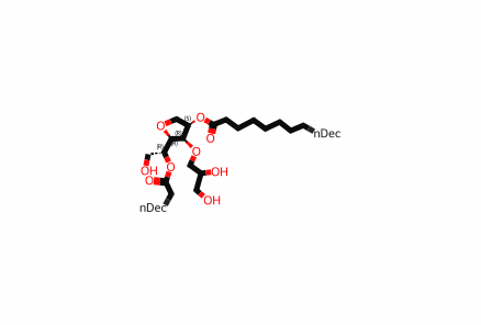 CCCCCCCCCCCCCCCCCC(=O)O[C@H]1CO[C@H]([C@@H](CO)OC(=O)CCCCCCCCCCC)[C@@H]1OCC(O)CO